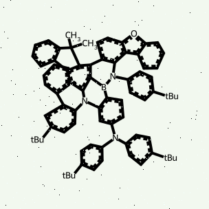 CC(C)(C)c1ccc(N2B3c4ccc(N(c5ccc(C(C)(C)C)cc5)c5ccc(C(C)(C)C)cc5)cc4N(c4ccc(C(C)(C)C)cc4-c4ccccc4)c4cc5c(c(c43)-c3ccc4oc6ccccc6c4c32)C(C)(C)c2ccccc2-5)cc1